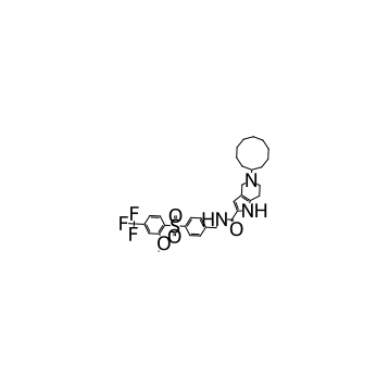 COc1cc(C(F)(F)F)ccc1S(=O)(=O)c1ccc(CNC(=O)c2cc3c([nH]2)CCN(C2CCCCCCCCC2)C3)cc1